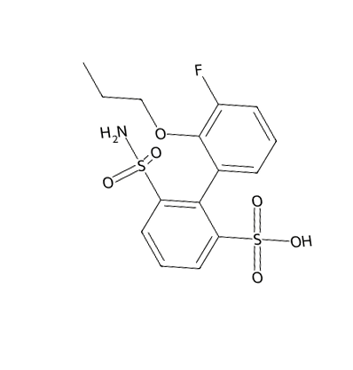 CCCOc1c(F)cccc1-c1c(S(N)(=O)=O)cccc1S(=O)(=O)O